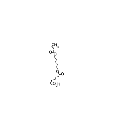 CC=CC(=O)OCCCCCCOC(=O)CCCCC(=O)O